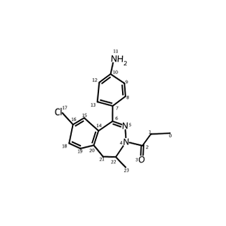 CCC(=O)N1N=C(c2ccc(N)cc2)c2cc(Cl)ccc2CC1C